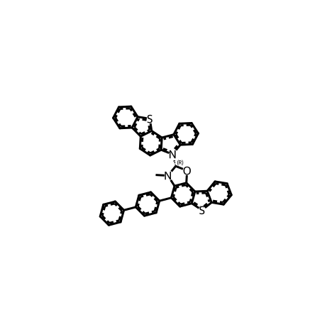 CN1c2c(-c3ccc(-c4ccccc4)cc3)cc3sc4ccccc4c3c2O[C@H]1n1c2ccccc2c2c3sc4ccccc4c3ccc21